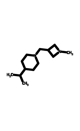 CC(C)C1CCN(CC2CN(C)C2)CC1